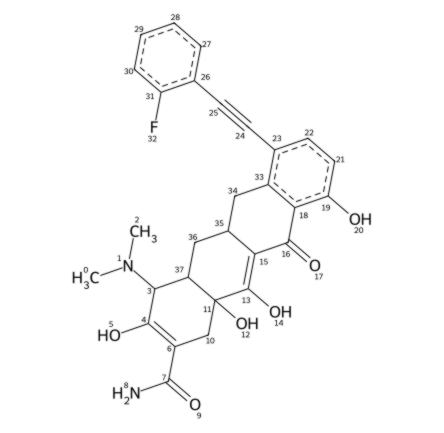 CN(C)C1C(O)=C(C(N)=O)CC2(O)C(O)=C3C(=O)c4c(O)ccc(C#Cc5ccccc5F)c4CC3CC12